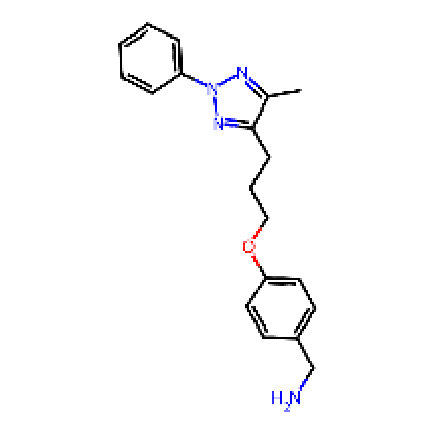 Cc1nn(-c2ccccc2)nc1CCCOc1ccc(CN)cc1